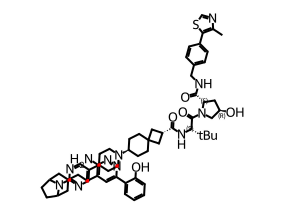 Cc1ncsc1-c1ccc(CNC(=O)[C@@H]2C[C@@H](O)CN2C(=O)[C@@H](NC(=O)[C@H]2CC3(CC[C@H](N4CCC(c5cnc(N6C7CCC6CC(CCc6cc(-c8ccccc8O)nnc6N)C7)nc5)CC4)CC3)C2)C(C)(C)C)cc1